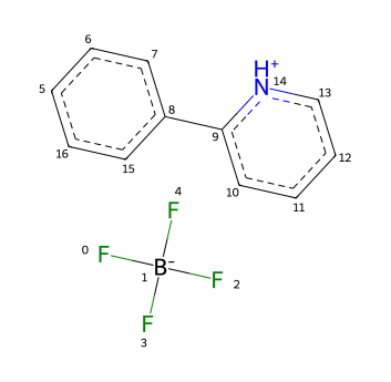 F[B-](F)(F)F.c1ccc(-c2cccc[nH+]2)cc1